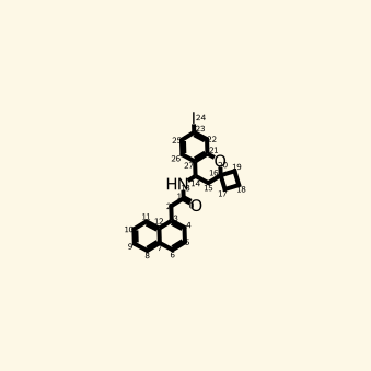 O=C(Cc1cccc2ccccc12)NC1CC2(CCC2)Oc2cc(I)ccc21